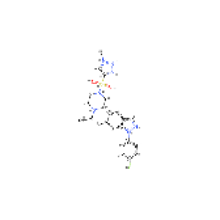 Cc1cc2c(cnn2-c2ccc(F)cc2)cc1[C@H]1CN(S(=O)(=O)c2cn(C)nn2)CCN1CC(C)C